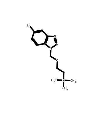 C[Si](C)(C)CCOCn1nnc2cc(Br)ccc21